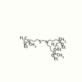 CCO[Si](C)(C)CCCSCN(CCC[Si](C)(C)OCC)CCC[Si](C)(OCC)OCC